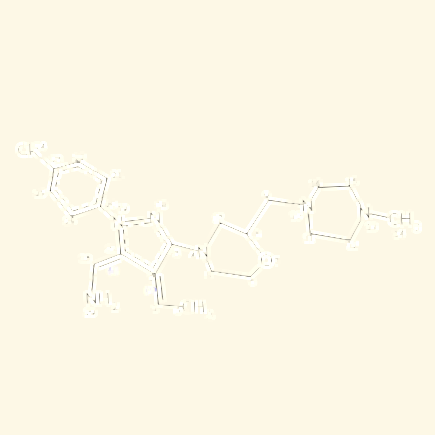 C/C=c1\c(N2CCOC(CN3CCN(C)CC3)C2)nn(-c2ccc(Cl)cc2)\c1=C\N